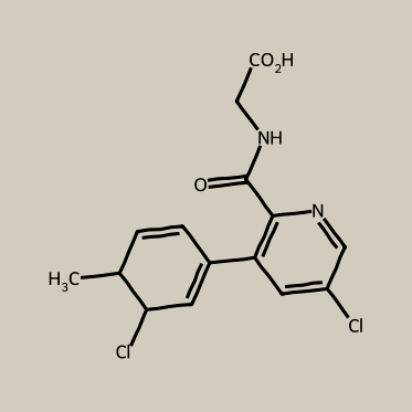 CC1C=CC(c2cc(Cl)cnc2C(=O)NCC(=O)O)=CC1Cl